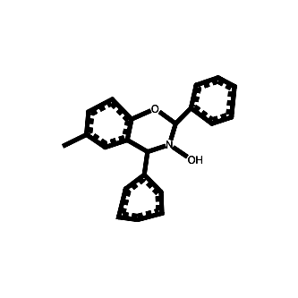 Cc1ccc2c(c1)C(c1ccccc1)N(O)C(c1ccccc1)O2